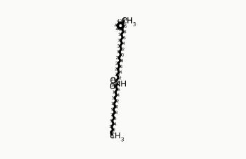 CCCCCCCCCCCCCCCCCC(=O)NC(=O)CCCCCCCCCCCCCCCCCc1cccc(C)c1